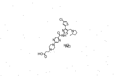 C[C@@H]1CCCN1Cc1sc(NC(=O)c2cnc(N3CCN(CCC(=O)O)[C@@H](C)C3)cn2)nc1-c1cc(Cl)cs1.Cl.Cl